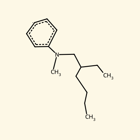 CCCCC(CC)CN(C)c1cc[c]cc1